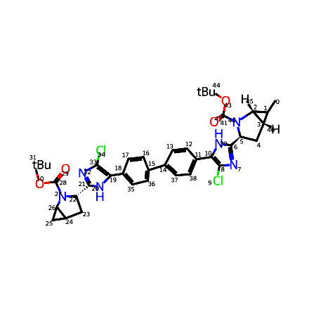 CC1[C@@H]2[C@H]1C[C@@H](c1nc(Cl)c(-c3ccc(-c4ccc(-c5[nH]c([C@@H]6CC7CC7N6C(=O)OC(C)(C)C)nc5Cl)cc4)cc3)[nH]1)N2C(=O)OC(C)(C)C